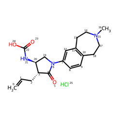 C=CC[C@H]1C(=O)N(c2ccc3c(c2)CCN(C)CC3)C[C@@H]1NC(=O)O.Cl